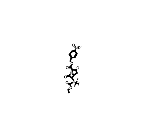 CCOC(=O)N(C1C(=O)N2C(C(=O)OCc3ccc([N+](=O)[O-])cc3)C(=O)CC12)C(F)(F)F